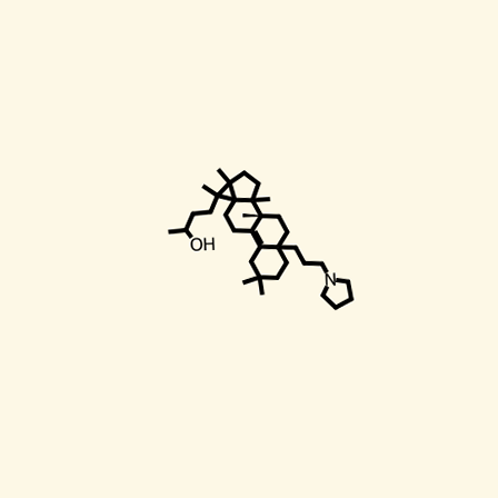 CC(O)CCC1(C)C2(C)CCC3(C)C12CCC1=C2CC(C)(C)CCC2(CCCN2CCCC2)CC[C@]13C